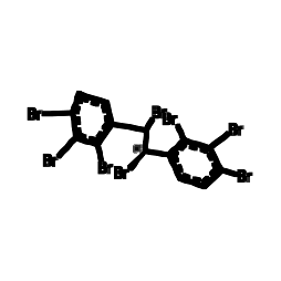 Brc1ccc(C(Br)[C@H](Br)c2ccc(Br)c(Br)c2Br)c(Br)c1Br